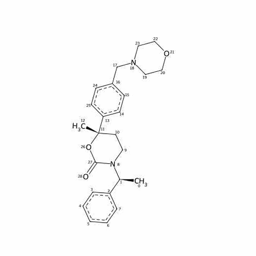 C[C@@H](c1ccccc1)N1CC[C@@](C)(c2ccc(CN3CCOCC3)cc2)OC1=O